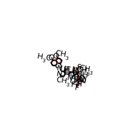 COc1ccc(CN(Cc2ccc(OC)cc2)c2nc(C)cc(-c3nc4c5c(nc(SC)nc5c3F)N3C[C@H]5CC[C@@H]([C@H]3[C@H](C(F)(F)F)O4)N5C(=O)OC(C)(C)C)c2F)cc1